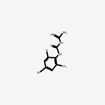 Cc1cc(Br)cc(Cl)c1NC(=O)NC(=N)N